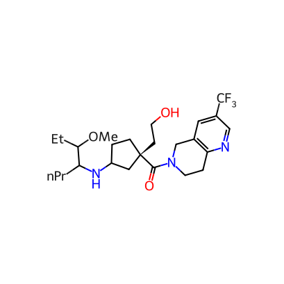 CCCC(NC1CC[C@](CCO)(C(=O)N2CCc3ncc(C(F)(F)F)cc3C2)C1)C(CC)OC